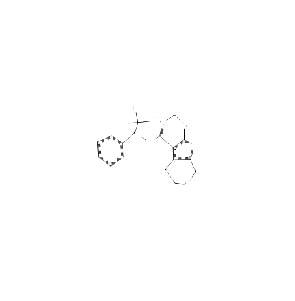 FC(F)(F)[C@@H](OC1=NCNc2sc3c(c21)CCNC3)c1ccccc1